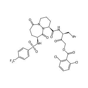 CC(C)C[C@H](NC(=O)[C@@H]1CCCN2C(=O)CC[C@H](NS(=O)(=O)c3ccc(C(F)(F)F)cc3)C(=O)N12)C(=O)COC(=O)c1c(Cl)cccc1Cl